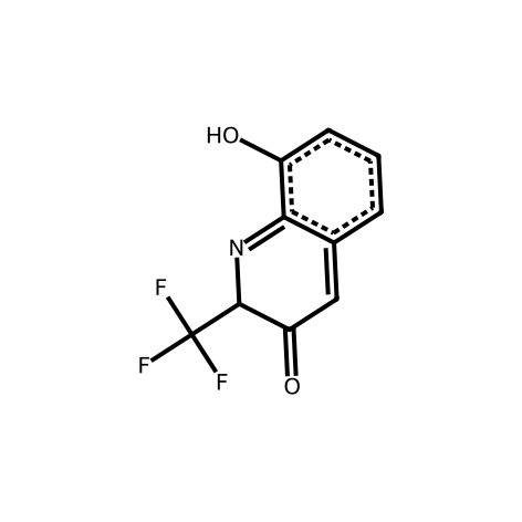 O=C1C=c2cccc(O)c2=NC1C(F)(F)F